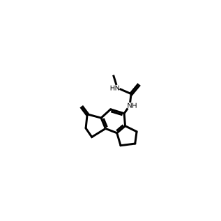 C=C(NC)Nc1cc2c(c3c1CCC3)CCC2=C